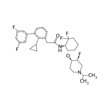 CC(C)N1CC[C@@H](O[C@H]2CCCC(F)(F)[C@@H]2NC(=O)Cc2cccc(-c3cc(F)cc(F)c3)c2C2CC2)[C@@H](F)C1